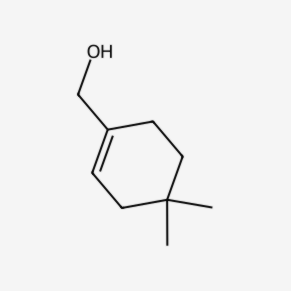 CC1(C)CC=C(CO)CC1